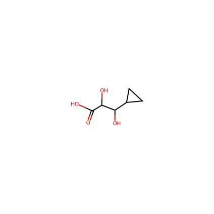 O=C(O)C(O)C(O)C1CC1